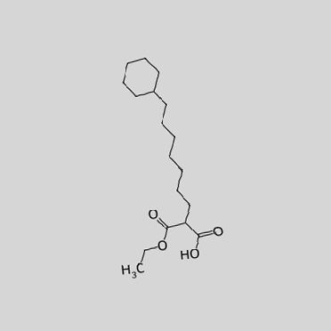 CCOC(=O)C(CCCCCCCC1CCCCC1)C(=O)O